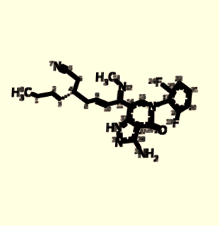 CCCC[C@H](CC#N)C/C=C/C(=N\C)c1cn(-c2c(F)cccc2F)c(=O)c2c(N)n[nH]c12